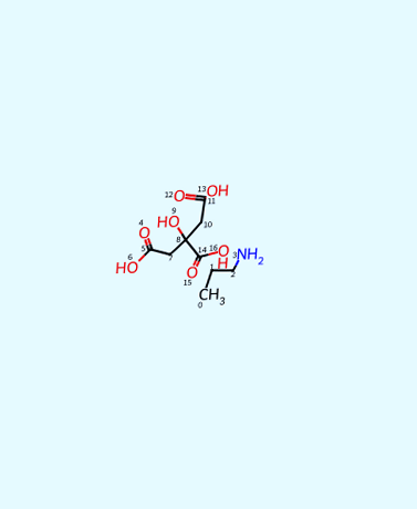 CCCN.O=C(O)CC(O)(CC(=O)O)C(=O)O